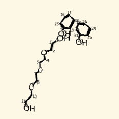 OCCOCCOCCOCCO.Oc1ccccc1.Oc1ccccc1